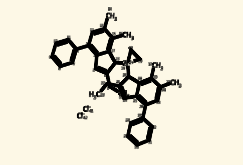 CCC1=Cc2c(-c3ccccc3)cc(C)c(C)c2[CH]1[Zr+2]1([CH]2C(CC)=Cc3c(-c4ccccc4)cc(C)c(C)c32)[CH2][CH2]1.[Cl-].[Cl-]